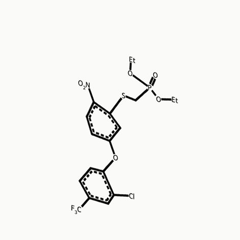 CCOP(=O)(CSc1cc(Oc2ccc(C(F)(F)F)cc2Cl)ccc1[N+](=O)[O-])OCC